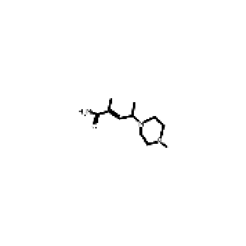 C/C(=C\C(C)N1CCN(C)CC1)C(N)=O